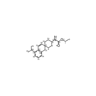 CCOC(=O)NC1CCC2(C=Cc3c(cccc3C(C)C)C2)CC1